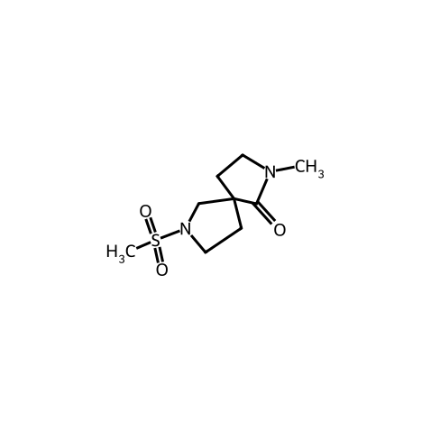 CN1CCC2(CCN(S(C)(=O)=O)C2)C1=O